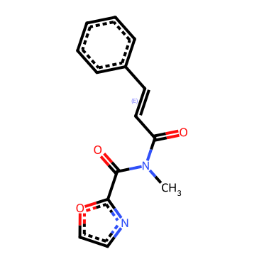 CN(C(=O)/C=C/c1ccccc1)C(=O)c1ncco1